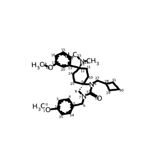 COc1ccc(CN2C[C@]3(CC[C@](c4cccc(OC)c4)(N(C)C)CC3)N(CC3CCC3)C2=O)cc1